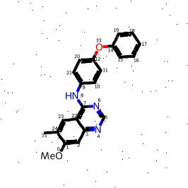 COc1cc2ncnc(Nc3ccc(Oc4ccccc4)cc3)c2cc1C